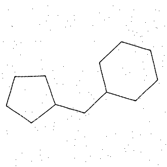 C1CCC(CC2CCCC2)CC1